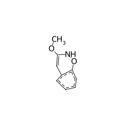 COC1=Cc2ccccc2ON1